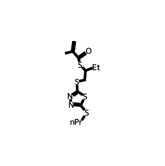 C=C(C)C(=O)SC(CC)CSc1nnc(SCCC)s1